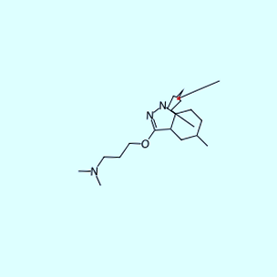 CC1CCCCN2N=C(OCCCN(C)C)C3CC(C)CCC32C(C)C1